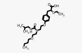 CCCCOCCN(CCOc1ccc(CC(OCC)C(=O)O)cc1)C(=O)NCC(C)C